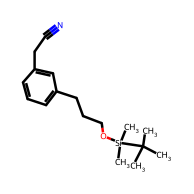 CC(C)(C)[Si](C)(C)OCCCc1cccc(CC#N)c1